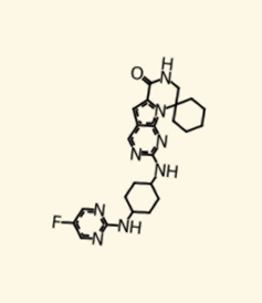 O=C1NCC2(CCCCC2)n2c1cc1cnc(NC3CCC(Nc4ncc(F)cn4)CC3)nc12